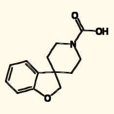 O=C(O)N1CCC2(CC1)COc1ccccc12